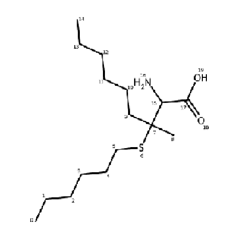 CCCCCCSC(C)(CCCCCC)C(N)C(=O)O